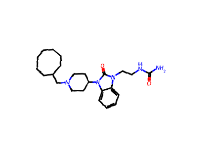 NC(=O)NCCn1c(=O)n(C2CCN(CC3CCCCCCC3)CC2)c2ccccc21